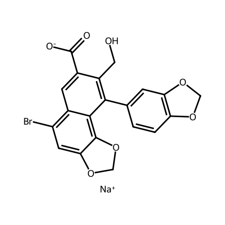 O=C([O-])c1cc2c(Br)cc3c(c2c(-c2ccc4c(c2)OCO4)c1CO)OCO3.[Na+]